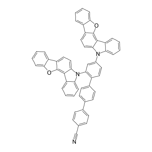 N#Cc1ccc(-c2ccc(-c3ccc(-n4c5ccccc5c5c6oc7ccccc7c6ccc54)cc3-n3c4ccccc4c4c5oc6ccccc6c5ccc43)cc2)cc1